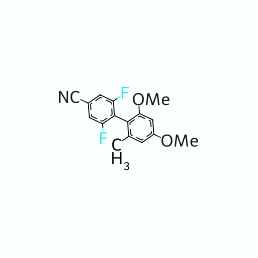 COc1cc(C)c(-c2c(F)cc(C#N)cc2F)c(OC)c1